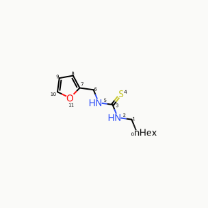 CCCCCCCNC(=S)NCc1ccco1